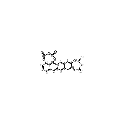 O=C1OC(=O)Oc2cc3cc4c5c6c(cccc6cc4cc3cc2O1)OC(=O)OC(=O)O5